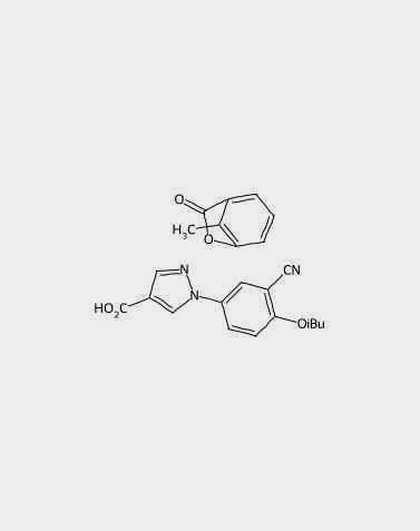 CC(C)COc1ccc(-n2cc(C(=O)O)cn2)cc1C#N.Cc1c2cccc1C(=O)O2